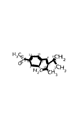 C=C(C)C(=Cc1ccc([S+](C)[O-])cc1)C(=C)C